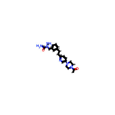 CC(=O)N1CCN(c2ccc(CCc3cccc(CN(N)C(N)=O)c3)nc2)CC1